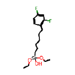 CCO[Si](O)(CCCCCCc1ccc(F)cc1F)OCC